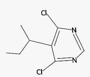 CCC(C)c1c(Cl)ncnc1Cl